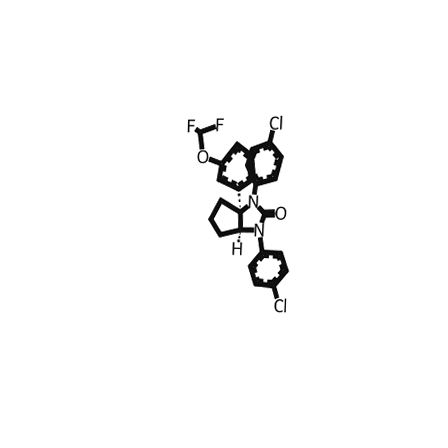 O=C1N(c2ccc(Cl)cc2)[C@H]2CCC[C@@]2(c2cccc(OC(F)F)c2)N1c1ccc(Cl)cc1